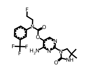 CC1(C)CN(c2ncc(OC(=O)N(CCF)c3cccc(C(F)(F)F)c3)c(N)n2)C(=O)N1